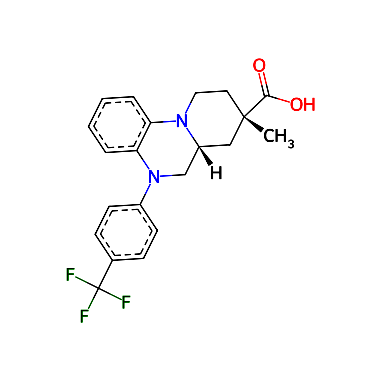 C[C@]1(C(=O)O)CCN2c3ccccc3N(c3ccc(C(F)(F)F)cc3)C[C@H]2C1